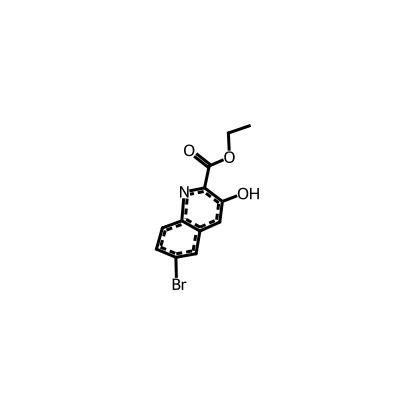 CCOC(=O)c1nc2ccc(Br)cc2cc1O